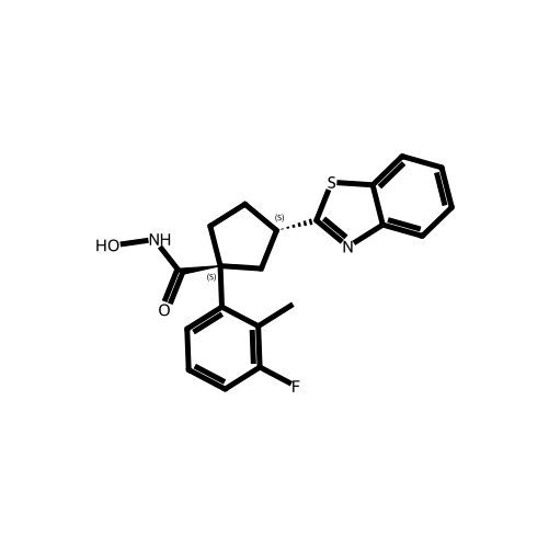 Cc1c(F)cccc1[C@]1(C(=O)NO)CC[C@H](c2nc3ccccc3s2)C1